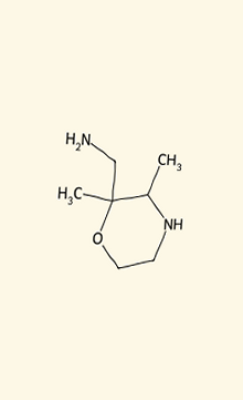 CC1NCCOC1(C)CN